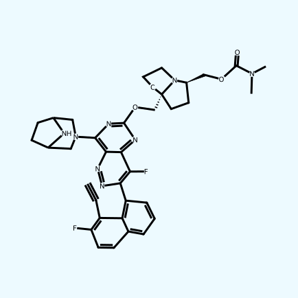 C#Cc1c(F)ccc2cccc(-c3nnc4c(N5CC6CCC(C5)N6)nc(OC[C@]56CCCN5[C@@H](COC(=O)N(C)C)CC6)nc4c3F)c12